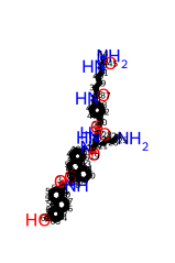 C[C@]1(C(=O)NC(=O)[C@@]2(C)CCC[C@]3(C)c4cc(NC(=O)[C@H](CCCCN)NC(=O)OCc5ccc(NC(=O)CCCCNC(N)=O)cc5)ccc4CC[C@@H]23)CCC[C@]2(C)c3cc(O)ccc3CCC12